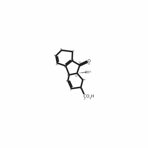 O=C(O)C1C=CC2C3=C(CCC=C3)C(=O)[C@H]2C1